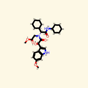 COC(=O)CN(C(=O)C(=O)c1c[nH]c2cc(OC)ccc12)[C@@H](C(=O)NC1CCCCC1)C1CCCCC1